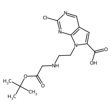 CC(C)(C)OC(=O)CNCCn1c(C(=O)O)cc2cnc(Cl)nc21